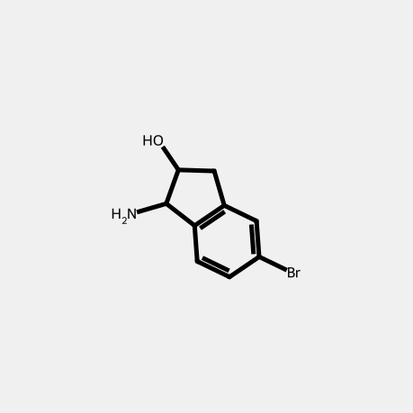 NC1c2ccc(Br)cc2CC1O